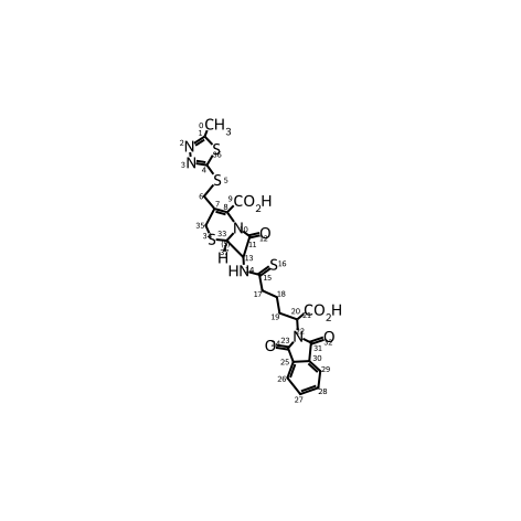 Cc1nnc(SCC2=C(C(=O)O)N3C(=O)C(NC(=S)CCCC(C(=O)O)N4C(=O)c5ccccc5C4=O)[C@@H]3SC2)s1